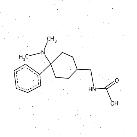 CN(C)C1(c2ccccc2)CCC(CNC(=O)O)CC1